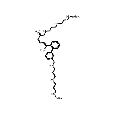 C=C(/C=C\C=C(/C)c1ccccc1-c1cccc(CNCCCNCCCNCCCCCC)c1)CNCCCNCCCNCCCCCC